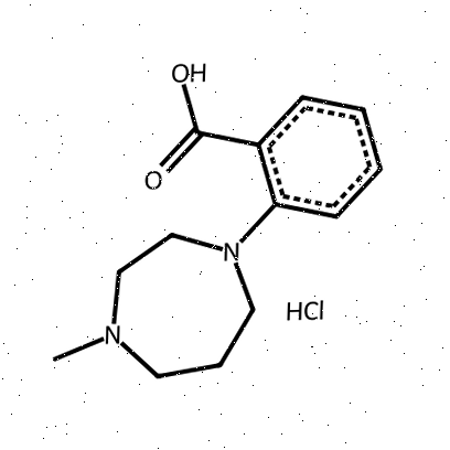 CN1CCCN(c2ccccc2C(=O)O)CC1.Cl